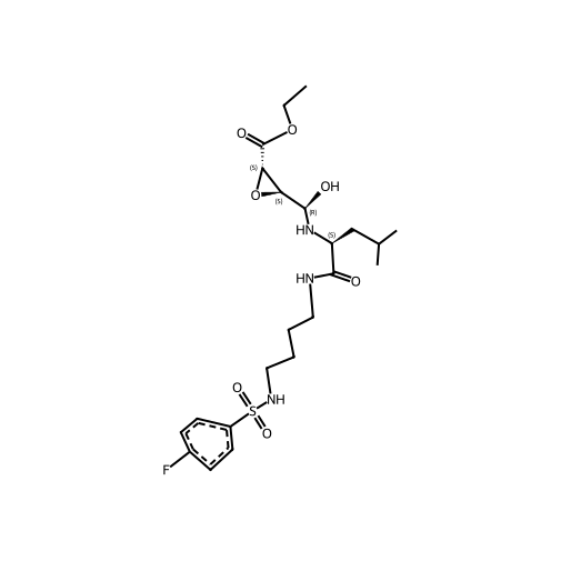 CCOC(=O)[C@H]1O[C@@H]1[C@@H](O)N[C@@H](CC(C)C)C(=O)NCCCCNS(=O)(=O)c1ccc(F)cc1